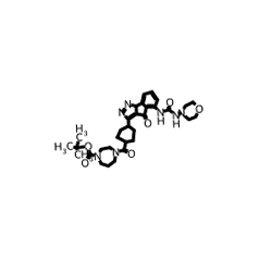 CC(C)(C)OC(=O)N1CCCN(C(=O)C2CCC(C3=C4C(=O)c5c(NC(=O)NN6CCOCC6)cccc5C4N=N3)CC2)CC1